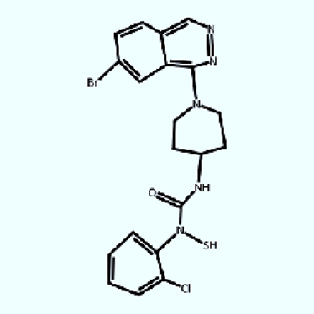 O=C(NC1CCN(c2nncc3ccc(Br)cc23)CC1)N(S)c1ccccc1Cl